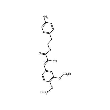 CCOC(=O)Oc1ccc(/C=C(\C#N)C(=O)OCCc2ccc(N)cc2)cc1OC(=O)OCC